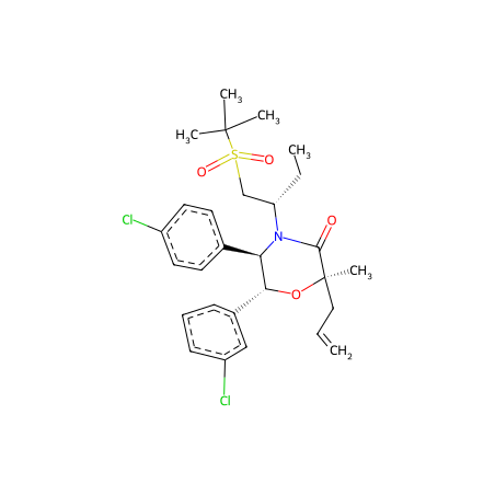 C=CC[C@@]1(C)O[C@H](c2cccc(Cl)c2)[C@@H](c2ccc(Cl)cc2)N([C@@H](CC)CS(=O)(=O)C(C)(C)C)C1=O